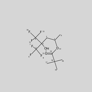 CC(CC(O)(C(F)(F)F)C(F)(F)F)OC(=O)C(C)(C)C